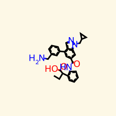 CCC(C(=O)O)c1ccccc1NC(=O)c1cc(-c2cccc(CN)c2)c2cnn(CC3CC3)c2c1